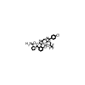 NC(=O)[C@@H]1CCCN1C(=O)c1cccc(Cl)c1-n1cnc(Cn2nc(-c3ccc(Cl)cc3)n(C[C@@H](O)C(F)(F)F)c2=O)n1